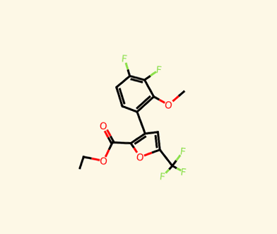 CCOC(=O)c1oc(C(F)(F)F)cc1-c1ccc(F)c(F)c1OC